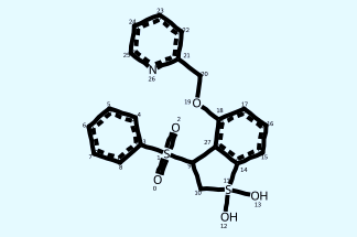 O=S(=O)(c1ccccc1)C1CS(O)(O)c2cccc(OCc3ccccn3)c21